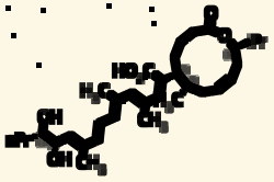 CCC[C@H](O)[C@@H](O)C=C(C)C=CC=C(C)C=C(C)C=C(C(=O)O)[C@H]1CCCC(=O)O[C@@H](C(C)C)CC=CC[C@@H]1C